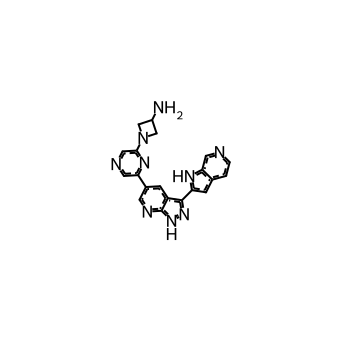 NC1CN(c2cncc(-c3cnc4[nH]nc(-c5cc6ccncc6[nH]5)c4c3)n2)C1